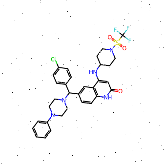 O=c1cc(NC2CCN(S(=O)(=O)C(F)(F)F)CC2)c2cc(C(c3ccc(Cl)cc3)N3CCN(c4ccccc4)CC3)ccc2[nH]1